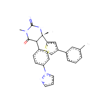 CN1C(=N)N[C@](C)(c2cc(-c3cccc(C#N)c3)cs2)C(c2ccc(-n3cccn3)cc2)C1=O